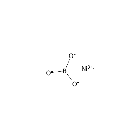 [Ni+3].[O-]B([O-])[O-]